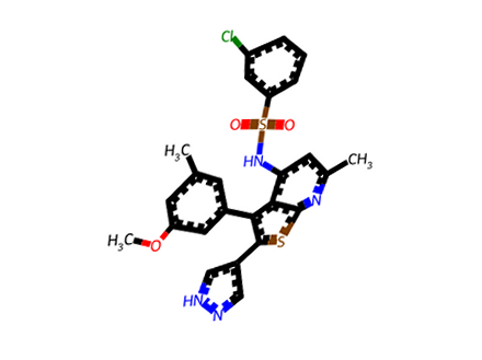 COc1cc(C)cc(-c2c(-c3cn[nH]c3)sc3nc(C)cc(NS(=O)(=O)c4cccc(Cl)c4)c23)c1